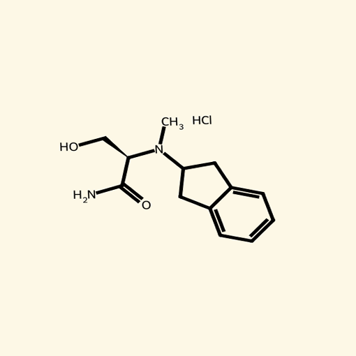 CN(C1Cc2ccccc2C1)[C@H](CO)C(N)=O.Cl